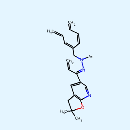 C=C/C=C\C(=C/C=C)CN(/N=C(\C=C)c1cnc2c(c1)CC(C)(C)O2)C(C)=O